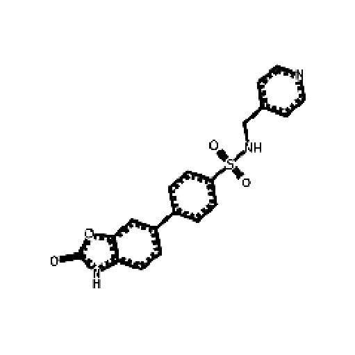 O=c1[nH]c2ccc(-c3ccc(S(=O)(=O)NCc4ccncc4)cc3)cc2o1